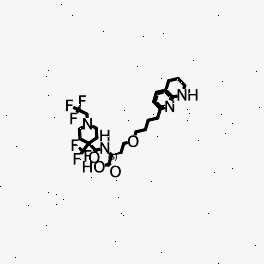 O=C(O)[C@H](CCOCCCCc1ccc2c(n1)NCCC2)NC(=O)C1(C(F)(F)F)CCN(CC(F)(F)F)CC1